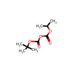 CC(C)OC(=O)OC(=O)OC(C)(C)C